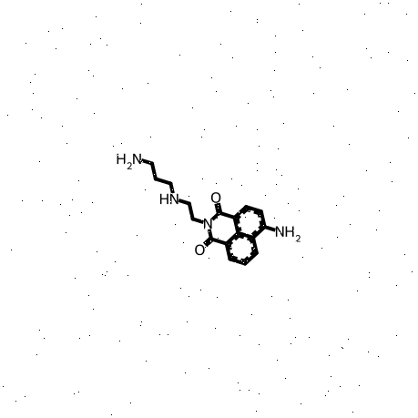 NCCCNCCN1C(=O)c2cccc3c(N)ccc(c23)C1=O